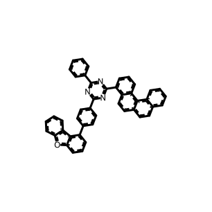 c1ccc(-c2nc(-c3ccc(-c4cccc5oc6ccccc6c45)cc3)nc(-c3cccc4c3ccc3ccc5ccccc5c34)n2)cc1